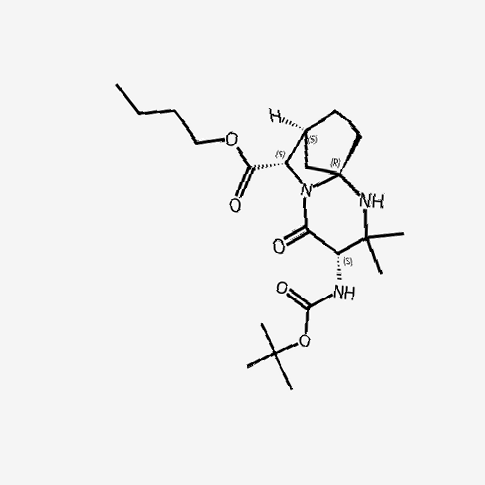 CCCCOC(=O)[C@@H]1[C@H]2CC[C@@]3(C2)NC(C)(C)[C@H](NC(=O)OC(C)(C)C)C(=O)N13